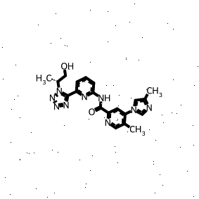 Cc1cn(-c2cc(C(=O)Nc3cccc(-c4nnnn4[C@H](C)CO)n3)ncc2C)cn1